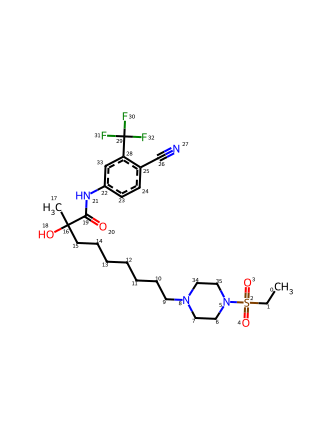 CCS(=O)(=O)N1CCN(CCCCCCCC(C)(O)C(=O)Nc2ccc(C#N)c(C(F)(F)F)c2)CC1